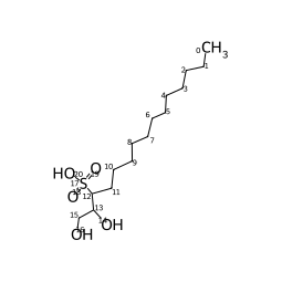 CCCCCCCCCCCCC(C(O)CO)S(=O)(=O)O